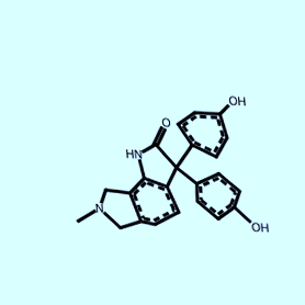 CN1Cc2ccc3c(c2C1)NC(=O)C3(c1ccc(O)cc1)c1ccc(O)cc1